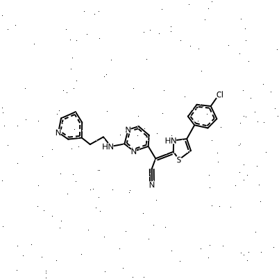 N#CC(=C1NC(c2ccc(Cl)cc2)=CS1)c1ccnc(NCCc2cccnc2)n1